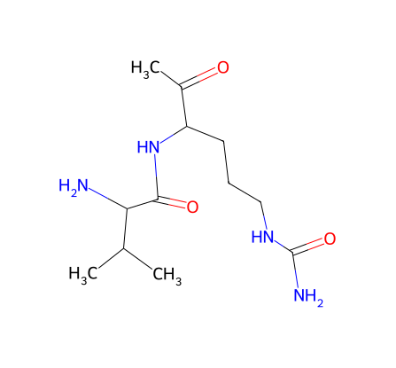 CC(=O)C(CCCNC(N)=O)NC(=O)C(N)C(C)C